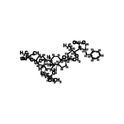 CC[C@H]1C(O[Si](C)(C)C)[C@@H]2[C@H](CC[C@]3(C)[C@@H]([C@H](C)C[C@@H](C)C(=O)N4C(=O)OC[C@H]4Cc4ccccc4)CC[C@@H]23)[C@@]2(C)CCC(O[Si](C)(C)C(C)(C)C)C[C@@H]12